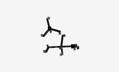 CCC(C)(C)N.CN(C)C